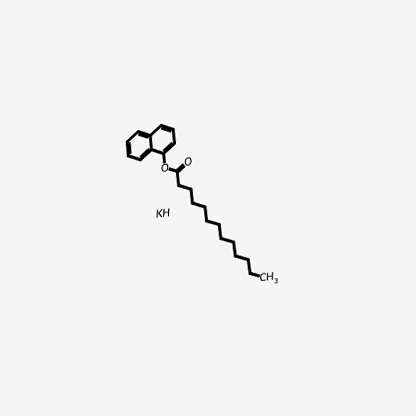 CCCCCCCCCCCCC(=O)Oc1cccc2ccccc12.[KH]